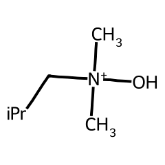 CC(C)C[N+](C)(C)O